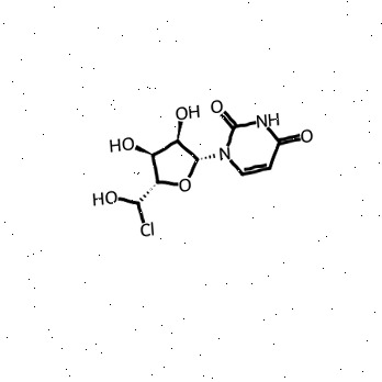 O=c1ccn([C@@H]2O[C@H](C(O)Cl)[C@@H](O)[C@H]2O)c(=O)[nH]1